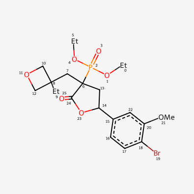 CCOP(=O)(OCC)C1(CC2(CC)COC2)CC(c2ccc(Br)c(OC)c2)OC1=O